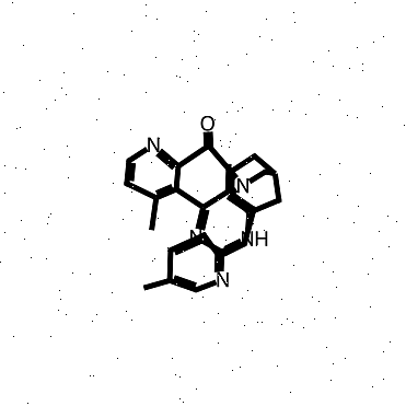 Cc1ccc(NC2CC3CCC2N(C(=O)c2nccc(C)c2-c2ncccc2C)C3)nc1